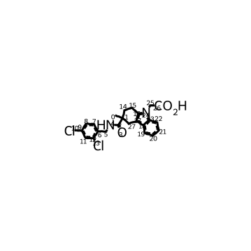 CC1(C(=O)NCc2ccc(Cl)cc2Cl)CCc2c(c3ccccc3n2CC(=O)O)C1